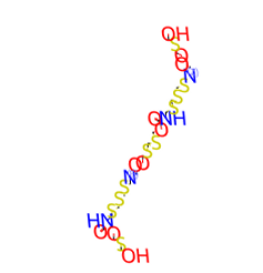 O=C(NCSCSCSC/N=C/OOCSCSCOC(=O)NCSCSCSC/N=C\OOCSCO)OCSCO